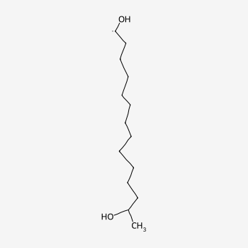 CC(O)CCCCCCCCCCC[CH]O